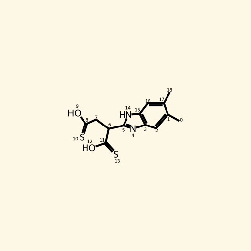 Cc1cc2nc(C(CC(O)=S)C(O)=S)[nH]c2cc1C